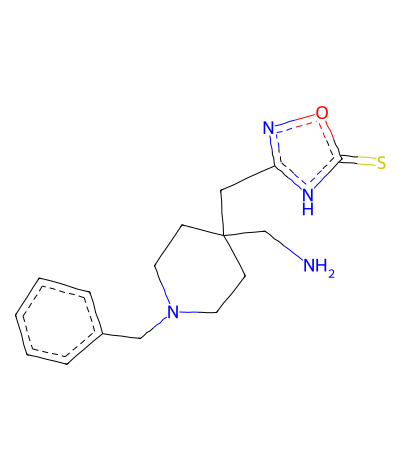 NCC1(Cc2noc(=S)[nH]2)CCN(Cc2ccccc2)CC1